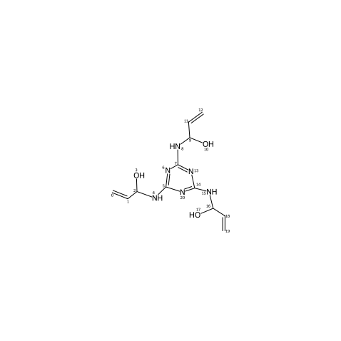 C=CC(O)Nc1nc(NC(O)C=C)nc(NC(O)C=C)n1